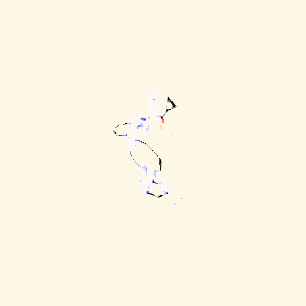 O=C(Nc1nc2cccc(N3CCCN(c4nccc(C(F)(F)F)n4)CC3)n2n1)C1CC1